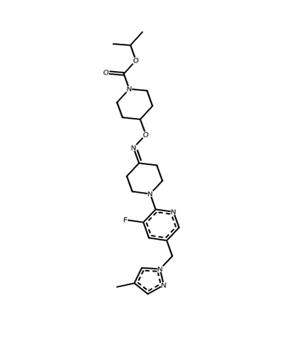 Cc1cnn(Cc2cnc(N3CCC(=NOC4CCN(C(=O)OC(C)C)CC4)CC3)c(F)c2)c1